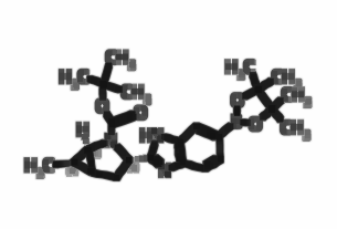 C[C@@H]1C2C[C@@H](c3nc4ccc(B5OC(C)(C)C(C)(C)O5)cc4[nH]3)N(C(=O)OC(C)(C)C)[C@@H]21